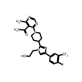 NC(=O)c1c(N)ncnc1N1CCC(c2nc(-c3ccc(F)c(C(F)(F)F)c3)cn2CCO)CC1